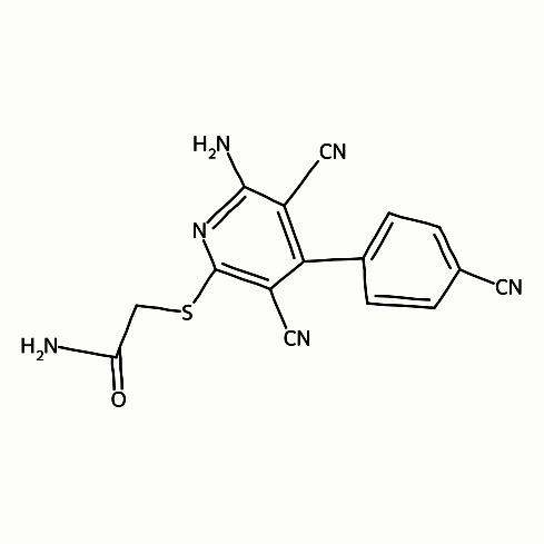 N#Cc1ccc(-c2c(C#N)c(N)nc(SCC(N)=O)c2C#N)cc1